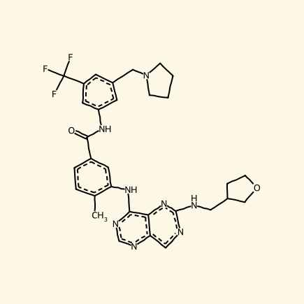 Cc1ccc(C(=O)Nc2cc(CN3CCCC3)cc(C(F)(F)F)c2)cc1Nc1ncnc2cnc(NCC3CCOC3)nc12